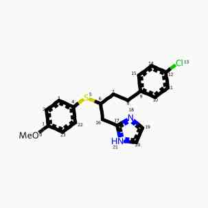 COc1ccc(SC(CCc2ccc(Cl)cc2)Cc2ncc[nH]2)cc1